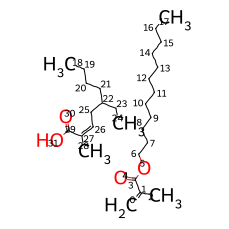 C=C(C)C(=O)OCCCCCCCCCCCC.CCCCC(CC)CC=C(C)C(=O)O